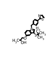 CC(O)COc1ccc2c(c1)c(SC(C)(C)C)cn2Cc1ccc(-c2nccs2)cc1